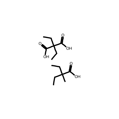 CCC(C)(CC)C(=O)O.CCC(CC)(C(=O)O)C(=O)O